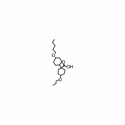 CCCCCOC1CCC(C2(C(=O)O)CCC(OCCC)CC2)CC1